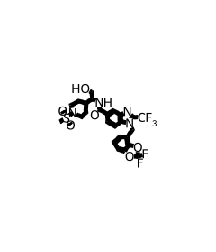 CS(=O)(=O)N1CCC(C(CO)NC(=O)c2ccc3c(c2)nc(C(F)(F)F)n3Cc2cccc3c2OC(F)(F)O3)CC1